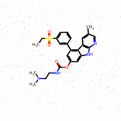 CCS(=O)(=O)c1cccc(-c2cc(OC(=O)NCCN(C)C)cc3[nH]c4ncc(C)cc4c23)c1